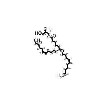 [CH2]C(CO)COC(=O)CCCCC(OCCC/C=C\CCCCC)OCCC/C=C\CCCCC